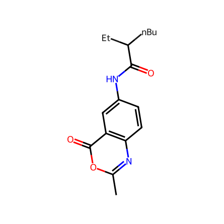 CCCCC(CC)C(=O)Nc1ccc2nc(C)oc(=O)c2c1